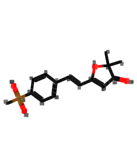 CC1(C)OC(/C=C/c2ccc(S(C)(=O)=O)cc2)=CC1=O